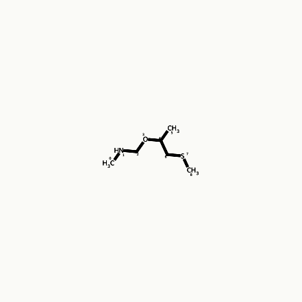 CNCOC(C)CSC